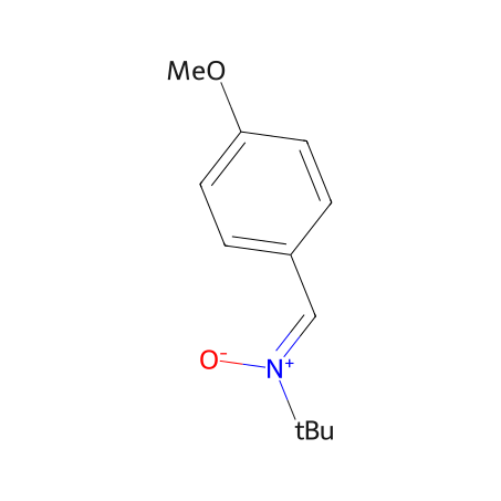 COc1ccc(C=[N+]([O-])C(C)(C)C)cc1